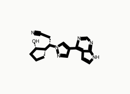 N#CC[C@@H]([C@@H]1CCC[C@@H]1O)n1cc(-c2ncnc3[nH]ccc23)cn1